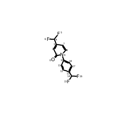 O=c1cc(C(F)F)ccn1-c1ccc(C(F)F)cc1